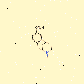 CN1CCC23CCCCC2C1Cc1ccc(C(=O)O)cc13